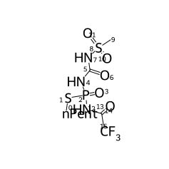 CCCCCSP(=O)(NC(=O)NS(C)(=O)=O)NC(=O)C(F)(F)F